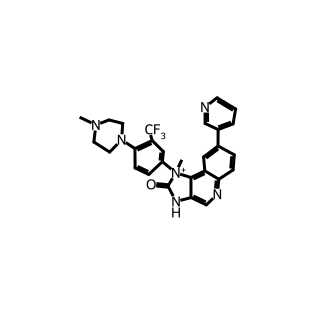 CN1CCN(c2ccc([N+]3(C)C(=O)Nc4cnc5ccc(-c6cccnc6)cc5c43)cc2C(F)(F)F)CC1